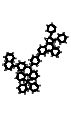 c1ccc(-c2oc3c4ccc(-c5ccc(N(c6ccc(-c7cccc8ccccc78)cc6)c6cccc7c6-c6ccccc6C7(c6ccccc6)c6ccccc6)cc5)cc4c4ccccc4c3c2-c2ccccc2)cc1